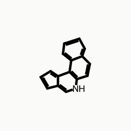 c1cc2c[nH]c3ccc4ccccc4c3c-2c1